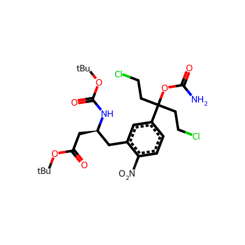 CC(C)(C)OC(=O)C[C@H](Cc1cc(C(CCCl)(CCCl)OC(N)=O)ccc1[N+](=O)[O-])NC(=O)OC(C)(C)C